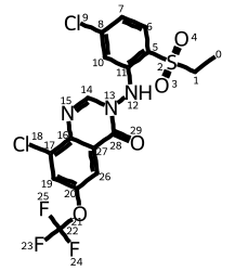 CCS(=O)(=O)c1ccc(Cl)cc1Nn1cnc2c(Cl)cc(OC(F)(F)F)cc2c1=O